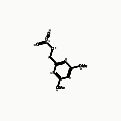 COc1cc(OC)nc(CO[SH](=O)=O)n1